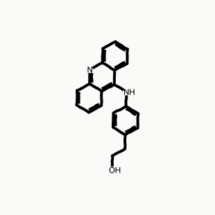 OCCc1ccc(Nc2c3ccccc3nc3ccccc23)cc1